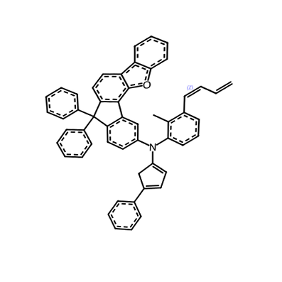 C=C/C=C\c1cccc(N(C2=CC=C(c3ccccc3)C2)c2ccc3c(c2)-c2c(ccc4c2oc2ccccc24)C3(c2ccccc2)c2ccccc2)c1C